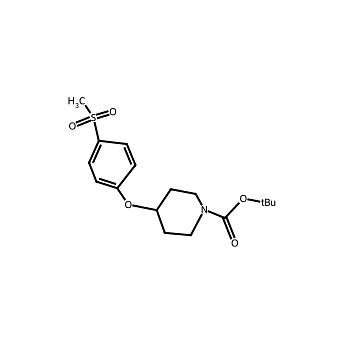 CC(C)(C)OC(=O)N1CCC(Oc2ccc(S(C)(=O)=O)cc2)CC1